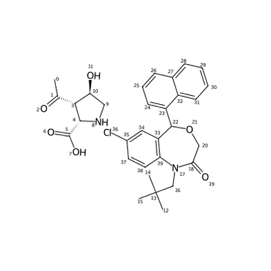 CC(=O)[C@H]1[C@@H](C(=O)O)NC[C@@H]1O.CC(C)(C)CN1C(=O)COC(c2cccc3ccccc23)c2cc(Cl)ccc21